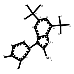 Cc1ccc(-c2c(N)oc3c(C(C)(C)C)cc(C(C)(C)C)cc23)cc1C